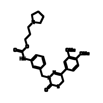 COc1ccc(C2=NN(Cc3cccc(NC(=O)OCCCN4CCCC4)c3)C(=O)SC2)cc1OC